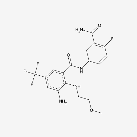 COCCNc1c(N)cc(C(F)(F)F)cc1C(=O)NC1C=CC(F)=C(C(N)=O)C1